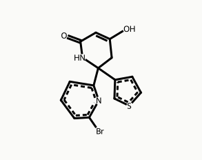 O=C1C=C(O)CC(c2ccsc2)(c2cccc(Br)n2)N1